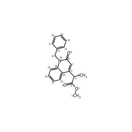 COC(=O)C(C)c1cc(=O)n(Cc2ccccc2)c2ccccc12